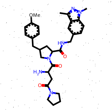 COc1ccc(CC2CC(C(=O)NCc3ccc4c(c3)c(C)nn4C)N(C(=O)C(N)CC(=O)N3CCCC3)C2)cc1